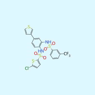 O=S(=O)(Nc1cc(-c2ccsc2)ccc1NS(=O)(=O)c1ccc(Cl)s1)c1cccc(C(F)(F)F)c1